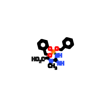 CN(CC(=O)O)C(=N)NP(=O)(OCc1ccccc1)OCc1ccccc1